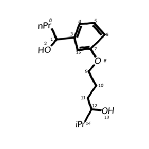 CCCC(O)c1cccc(OCCCC(O)C(C)C)c1